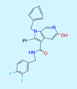 CC(C)c1c(C(=O)NCc2ccc(F)c(F)c2)c2cc(O)ncc2n1Cc1ccccc1